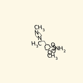 CCN1CCN([C@H](C)Cc2ccc(OC)c(S(N)(=O)=O)c2)CC1